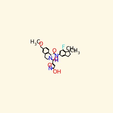 COCc1ccc2c(c1)CCN(C(=O)c1cc(O)no1)[C@H]2C(=O)Nc1cc(F)c2c(c1)CCC2(C)C